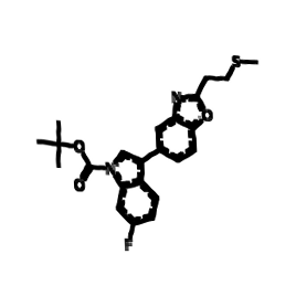 CSCCc1nc2cc(-c3cn(C(=O)OC(C)(C)C)c4cc(F)ccc34)ccc2o1